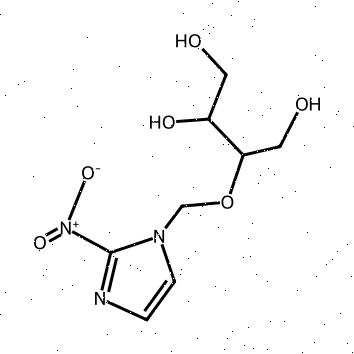 O=[N+]([O-])c1nccn1COC(CO)C(O)CO